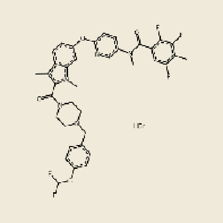 Br.Cc1c(F)cc(C(=O)N(C)c2ccc(Oc3ccc4c(C)c(C(=O)N5CCN(Cc6ccc(OC(F)F)cc6)CC5)n(C)c4c3)nc2)c(F)c1F